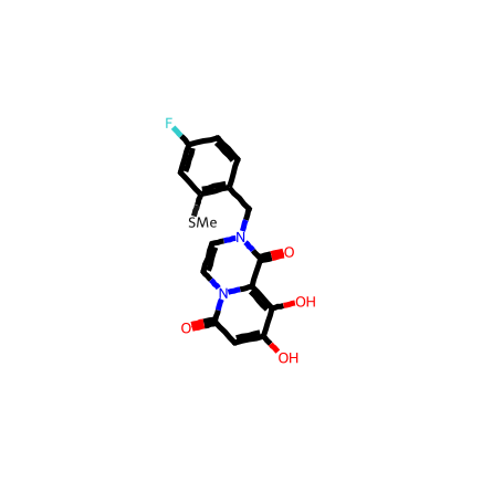 CSc1cc(F)ccc1Cn1ccn2c(=O)cc(O)c(O)c2c1=O